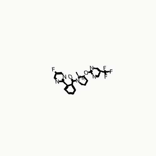 C[C@H]1[C@H](Oc2ncc(C(F)(F)F)cn2)CCCN1C(=O)c1ccccc1-c1ncc(F)cn1